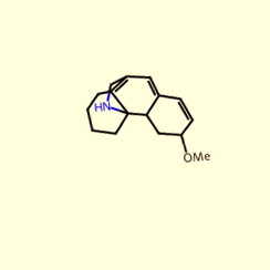 COC1C=CC2=CC3=C4CCCCC4(NC3)C2C1